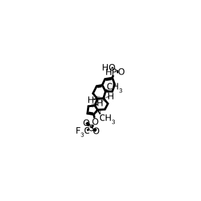 C[C@]12CCC([PH](=O)O)=CC1=CC[C@@H]1[C@@H]2CC[C@]2(C)C(OS(=O)(=O)C(F)(F)F)=CC[C@@H]12